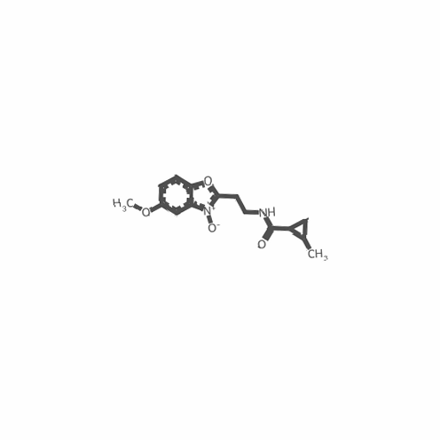 COc1ccc2oc(CCNC(=O)C3CC3C)[n+]([O-])c2c1